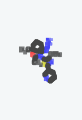 C=C(OC1(C)CCCCC1)N(CN=[N+]=[N-])c1sc(-c2cccnc2)nc1OC